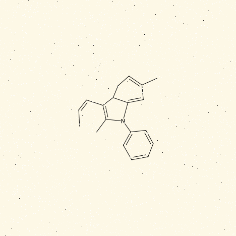 C/C=C\C1=C(C)N(c2ccccc2)C2=CC(C)=CCC21